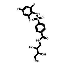 O=C(NCC(O)C(O)CO)c1ccc(S(=O)(=O)Nc2c(F)cc(F)cc2F)cc1